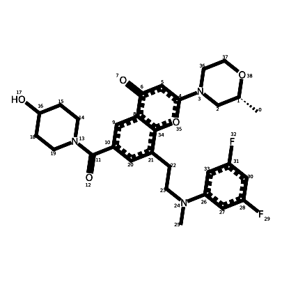 C[C@@H]1CN(c2cc(=O)c3cc(C(=O)N4CCC(O)CC4)cc(CCN(C)c4cc(F)cc(F)c4)c3o2)CCO1